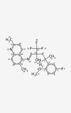 COc1ccc(F)cc1C(C)(C)CC(O)(C=Nc1c(C)ccc2nc(C)ccc12)C(F)(F)F